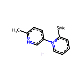 CSc1cccc[n+]1-c1ccc(C)nc1.[I-]